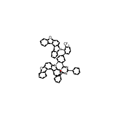 FC(F)(F)c1cccc(-c2ccc(-n3c4ccccc4c4c5c(ccc43)oc3ccccc35)c(-c3nc(-c4ccccc4)nc(-c4ccccc4)n3)c2)c1-n1c2ccccc2c2c3c(ccc21)oc1ccccc13